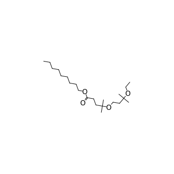 CCCCCCCCCOC(=O)CCC(C)(C)OCCC(C)(C)OCC